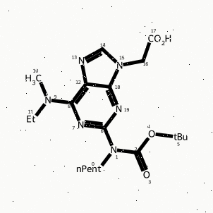 CCCCCN(C(=O)OC(C)(C)C)c1nc(N(C)CC)c2ncn(CC(=O)O)c2n1